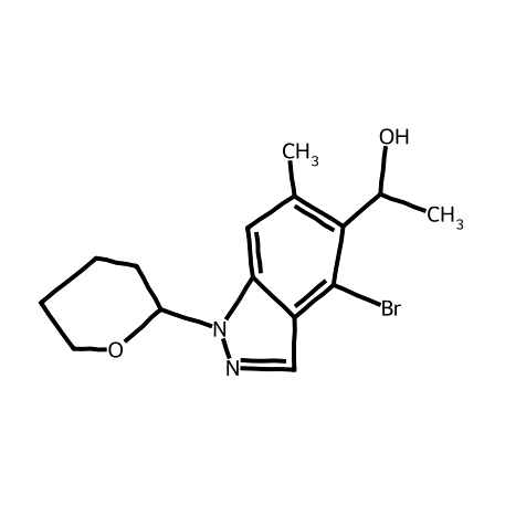 Cc1cc2c(cnn2C2CCCCO2)c(Br)c1C(C)O